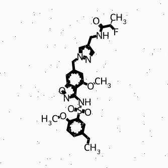 CCc1ccc(OC)c(S(=O)(=O)Nc2noc3cc(Cn4cc(CNC(=O)[C@H](C)F)cn4)cc(OC)c23)c1